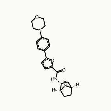 O=C(N[C@@H]1C[C@H]2CC[C@@H]1N2)c1ccc(-c2ccc(N3CCOCC3)cc2)o1